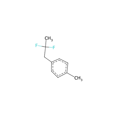 Cc1ccc(CC(C)(F)F)cc1